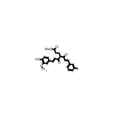 COC(=O)CCC(C(=O)/C=C/c1cccc(C)c1)C(=O)/C=C/c1ccc(O)c(OC(F)(F)F)c1